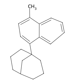 Cc1ccc(C23CCCC(CCC2)C3)c2ccccc12